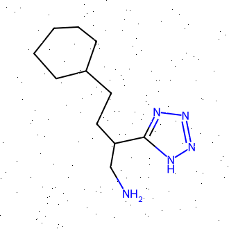 NCC(CCC1CCCCC1)c1nnn[nH]1